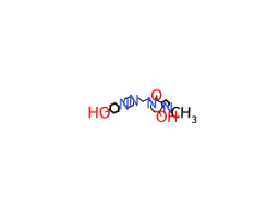 CCn1ccc2c1C(O)CCN(CCCN1CCN(c3ccc(O)cc3)CC1)C2=O